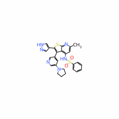 Cc1cc(NS(=O)(=O)c2ccccc2)c2c(-c3cncc(N4CCCC4)c3)c(-c3cn[nH]c3)sc2n1